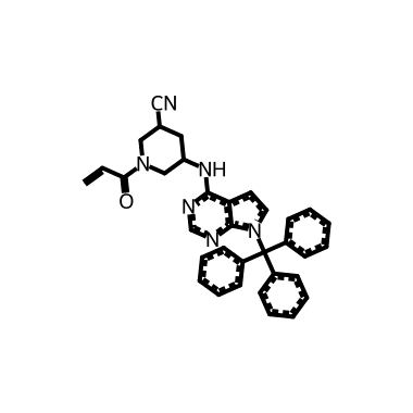 C=CC(=O)N1CC(C#N)CC(Nc2ncnc3c2ccn3C(c2ccccc2)(c2ccccc2)c2ccccc2)C1